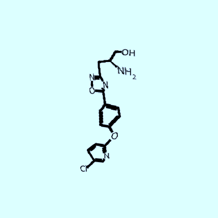 N[C@H](CO)Cc1noc(-c2ccc(Oc3ccc(Cl)cn3)cc2)n1